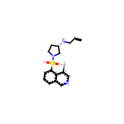 C=CCN[C@H]1CCN(S(=O)(=O)c2cccc3cncc(Br)c23)C1